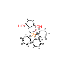 OC1CCC(O)C1CP(Br)(c1ccccc1)(c1ccccc1)c1ccccc1